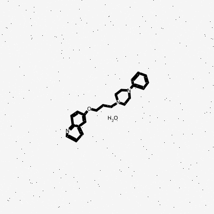 O.c1ccc(N2CCN(CCCOc3ccc4ncccc4c3)CC2)cc1